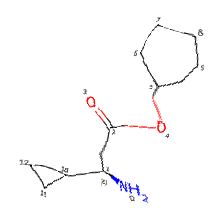 N[C@H](C(=O)OC1CCCC1)C1CC1